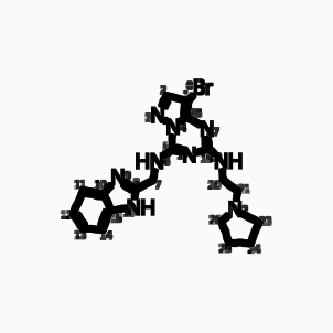 Brc1cnn2c(NCc3nc4ccccc4[nH]3)nc(NCCN3CCCC3)nc12